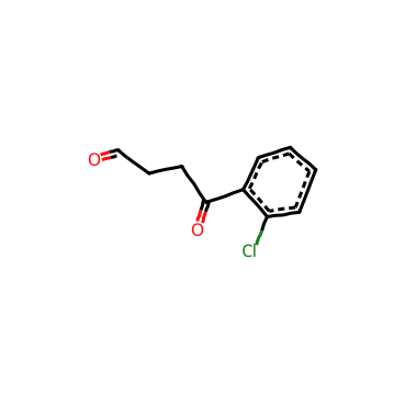 O=CCCC(=O)c1ccccc1Cl